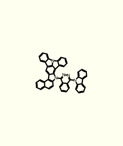 c1ccc2c(c1)ccc1c2c2cc3c4ccccc4n4c5ccccc5c(c2n1-c1nnc(-n2c5ccccc5c5ccccc52)c2ccccc12)c34